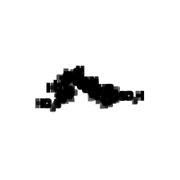 Cc1ccc(S(=O)(=O)NC(=O)NS(=O)(=O)c2ccc(C)c(Nc3cccc4cc(S(=O)(=O)O)cc(O)c34)c2)cc1Nc1cccc2cc(S(=O)(=O)O)cc(O)c12